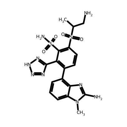 CC(CN)S(=O)(=O)c1ccc(-c2cccc3c2nc(N)n3C)c(-c2nn[nH]n2)c1S(N)(=O)=O